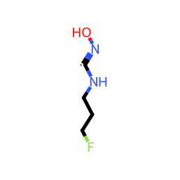 ON=[C]NCCCF